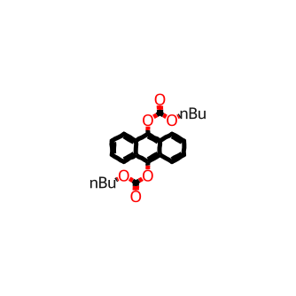 CCCCOC(=O)Oc1c2ccccc2c(OC(=O)OCCCC)c2ccccc12